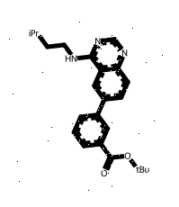 CC(C)CCNc1ncnc2ccc(-c3cccc(C(=O)OC(C)(C)C)c3)cc12